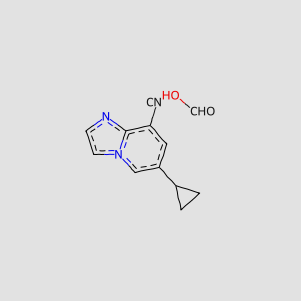 N#Cc1cc(C2CC2)cn2ccnc12.O=CO